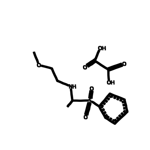 COCCNC(C)S(=O)(=O)c1ccccc1.O=C(O)C(=O)O